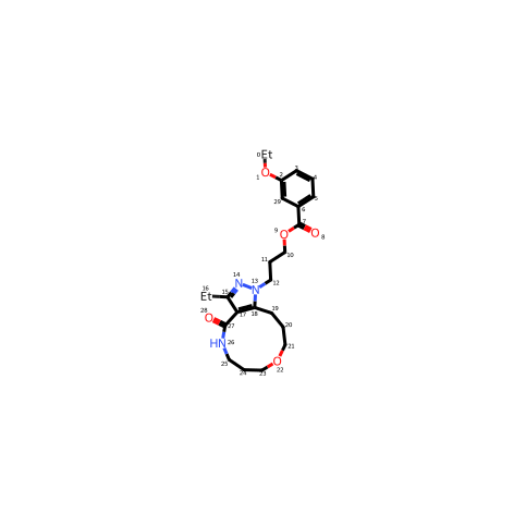 CCOc1cccc(C(=O)OCCCn2nc(CC)c3c2CCCOCCCNC3=O)c1